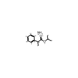 CC(C)OC(=O)C(C)c1ccccc1.N